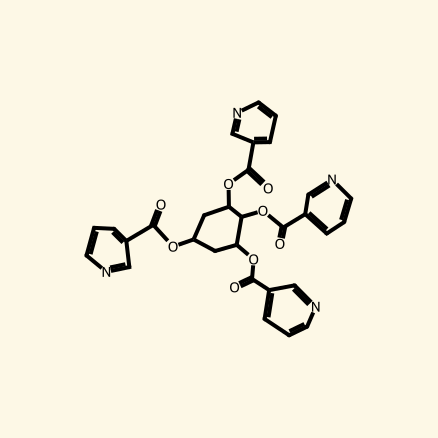 O=C(OC1CC(OC(=O)c2cccnc2)C(OC(=O)c2cccnc2)C(OC(=O)c2cccnc2)C1)c1cccnc1